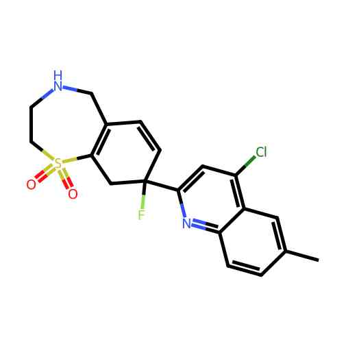 Cc1ccc2nc(C3(F)C=CC4=C(C3)S(=O)(=O)CCNC4)cc(Cl)c2c1